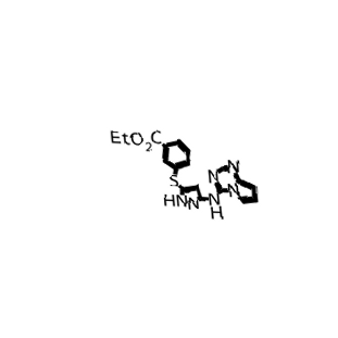 CCOC(=O)c1cccc(Sc2cc(Nc3ncnc4cccn34)n[nH]2)c1